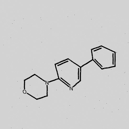 [c]1ccc(-c2ccc(N3CCOCC3)nc2)cc1